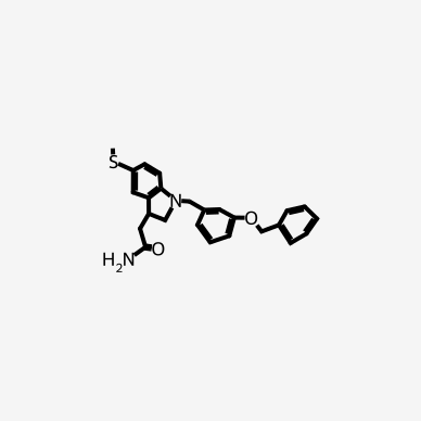 CSc1ccc2c(c1)C(CC(N)=O)CN2Cc1cccc(OCc2ccccc2)c1